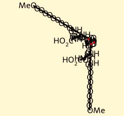 COCCOCCOCCOCCOCCOCCOCCOCCOCCOCC(=O)NCCCC[C@H](NC(=O)CCCNC(=O)[C@H]([C@@H](C(=O)NCCCC(=O)N[C@@H](CCCCNC(=O)COCCOCCOCCOCCOCCOCCOCCOCCOCCOC)C(=O)NCC(=O)NCC(=O)O)N1C(=O)C=CC1=O)N1C(=O)C=CC1=O)C(=O)NCC(=O)NCC(=O)O